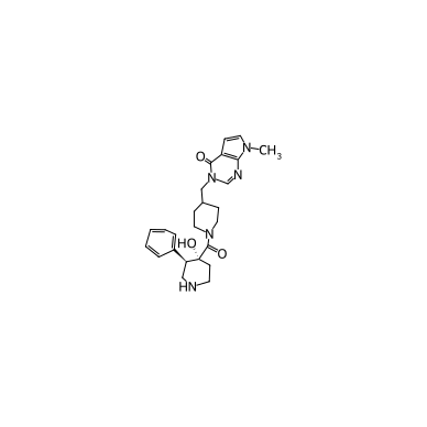 Cn1ccc2c(=O)n(CC3CCN(C(=O)[C@@]4(O)CCNC[C@H]4c4ccccc4)CC3)cnc21